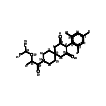 Cc1cc(C)c(C2C(=O)CC3(CCN(C(=O)C(C)OC(F)F)CC3)CC2=O)c(C)c1